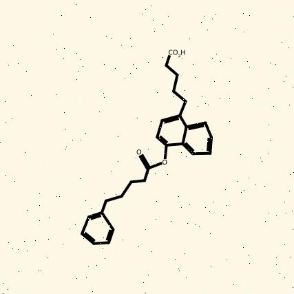 O=C(O)CCCCc1ccc(OC(=O)CCCCc2ccccc2)c2ccccc12